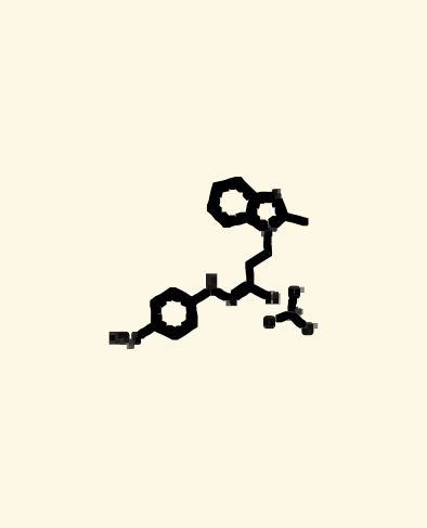 CC/C(CC[n+]1c(C)sc2ccccc21)=N/Nc1ccc(S(=O)(=O)O)cc1.[O-][I+2]([O-])[O-]